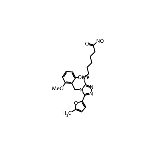 COc1cccc(OC)c1Cn1c(SCCCCCC(=O)N=O)nnc1-c1ccc(C)o1